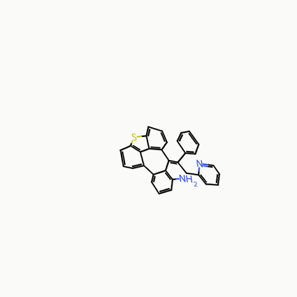 Nc1cccc2c1/C(=C(\Cc1ccccn1)c1ccccc1)c1cccc3sc4cccc-2c4c13